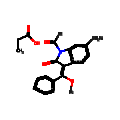 CCC(=O)O.CCOC(=O)c1ccc2c(c1)N(C(=O)CC)C(=O)C2=C(OCC)c1ccccc1